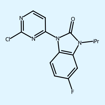 CC(C)n1c(=O)n(-c2ccnc(Cl)n2)c2ccc(F)cc21